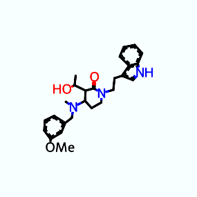 COc1cccc(CN(C)C2CCN(CCc3c[nH]c4ccccc34)C(=O)C2C(C)O)c1